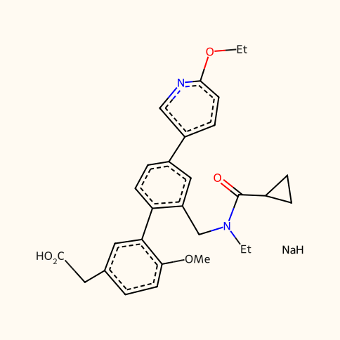 CCOc1ccc(-c2ccc(-c3cc(CC(=O)O)ccc3OC)c(CN(CC)C(=O)C3CC3)c2)cn1.[NaH]